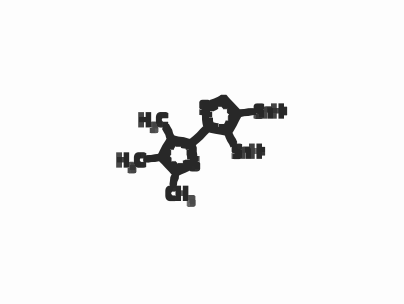 Cc1sc(-c2sc[c]([SnH])[c]2[SnH])c(C)c1C